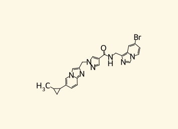 CC1CC1c1ccc2nc(Cn3cc(C(=O)NCc4ncn5ccc(Br)cc45)cn3)cn2c1